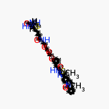 Cc1ccccc1C(=O)N1CCc2cc(-c3nc(NC(=O)Cc4cccc(OCCOCCOCCNC(=O)CCCC[C@@H]5SC[C@@H]6NC(=O)N[C@@H]65)c4)sc3C)ccc21